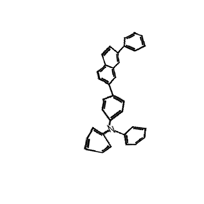 c1ccc(-c2ccc3ccc(-c4ccc(N(c5ccccc5)c5ccccc5)cc4)cc3c2)cc1